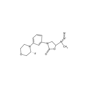 C[N+](=[N+]=[N-])C1CN(c2cccc(N3CCOC[C@H]3F)c2)C(=O)O1